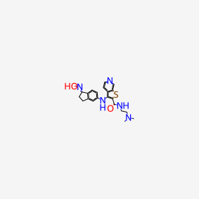 CN(C)CCNC(=O)c1sc2cnccc2c1Nc1ccc2c(c1)CCC2=NO